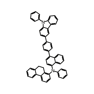 c1ccc(N(c2cccc3c2CCc2ccccc2-3)c2ccc(-c3ccc(-c4ccc5c(c4)c4ccccc4n5-c4ccccc4)cc3)c3ccccc23)cc1